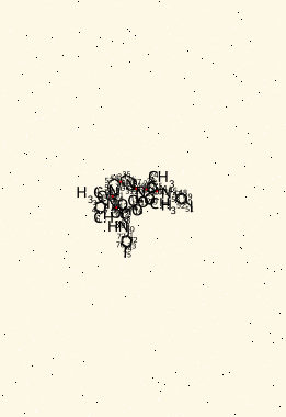 COc1ccc(C)cc1N(C(=O)OC(=O)C(=O)OC(=O)N(c1cc(C)ccc1OC)C1CC2CCCC(C1)N2CCCCCCNCc1ccc(I)cc1)C1CC2CCCC(C1)N2CCCCCCNCc1ccc(I)cc1